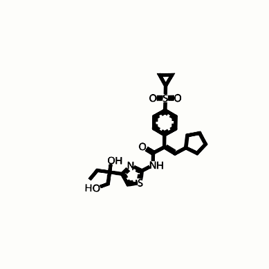 CCC(O)(CO)c1csc(NC(=O)/C(=C/C2CCCC2)c2ccc(S(=O)(=O)C3CC3)cc2)n1